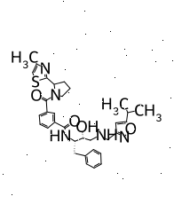 Cc1csc(C2CCCN2C(=O)c2cccc(C(=O)N[C@@H](Cc3ccccc3)[C@H](O)CNCc3cc(C(C)C)on3)c2)n1